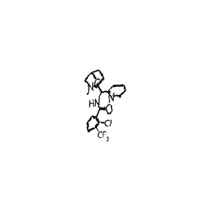 CN1CC2CCC1(C(NC(=O)c1cccc(C(F)(F)F)c1Cl)C1=NCCC=C1)CC2